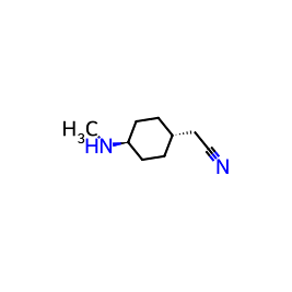 CN[C@H]1CC[C@H](CC#N)CC1